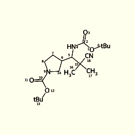 CC(C)(C)OC(=O)NC(C1CCN(C(=O)OC(C)(C)C)C1)C(C)(C)C#N